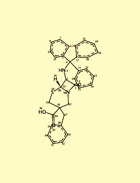 O=C1C(NC(c2ccccc2)(c2ccccc2)c2ccccc2)[C@H]2SCC(Cc3ccccc3)(C(=O)O)CN12